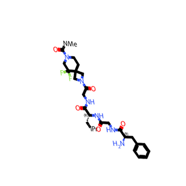 CNC(=O)N1CCC2(CN(C(=O)CNC(=O)[C@@H](CC(C)C)NC(=O)CNC(=O)[C@H](N)Cc3ccccc3)C2)C(F)(F)C1